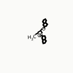 C=CC(=O)CC(COc1ccc2ccccc2c1)COc1ccc2ccccc2c1